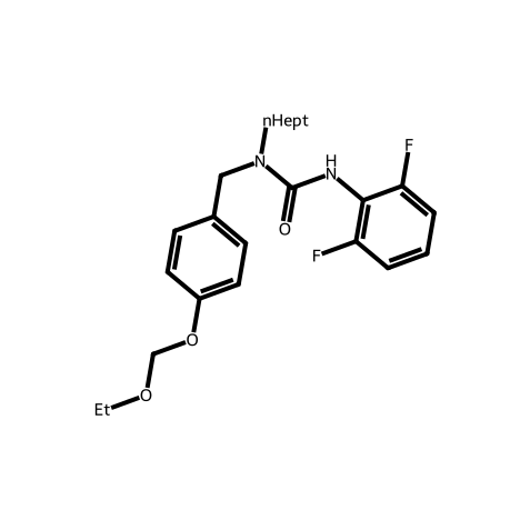 CCCCCCCN(Cc1ccc(OCOCC)cc1)C(=O)Nc1c(F)cccc1F